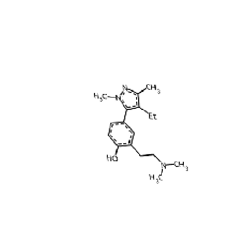 CCc1c(C)nn(C)c1-c1ccc(O)c(CCN(C)C)c1